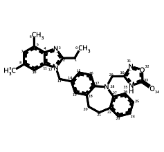 CCc1nc2c(C)cc(C)cc2n1Cc1ccc2c(c1)CCc1ccccc1N2Cc1noc(=O)[nH]1